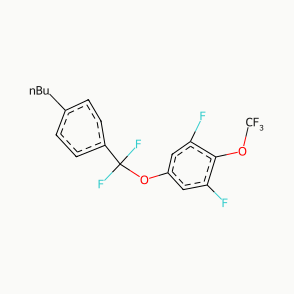 CCCCc1ccc(C(F)(F)Oc2cc(F)c(OC(F)(F)F)c(F)c2)cc1